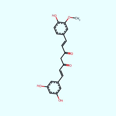 COc1cc(/C=C/C(=O)CC(=O)/C=C/c2cc(O)cc(O)c2)ccc1O